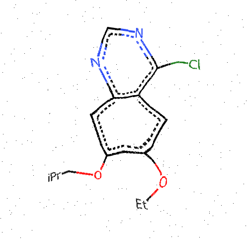 CCOc1cc2c(Cl)ncnc2cc1OC(C)C